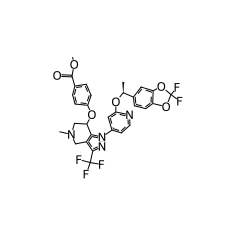 COC(=O)c1ccc(OC2CN(C)Cc3c(C(F)(F)F)nn(-c4ccnc(O[C@@H](C)c5ccc6c(c5)OC(F)(F)O6)c4)c32)cc1